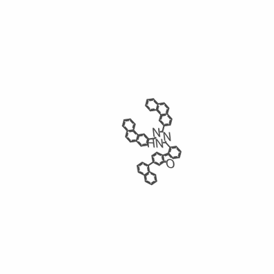 c1ccc2c(-c3ccc4c(c3)oc3cccc(C5N=C(c6ccc7ccc8ccccc8c7c6)N=C(c6ccc7ccc8ccccc8c7c6)N5)c34)cccc2c1